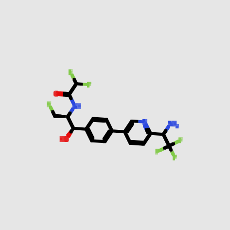 NC(c1ccc(-c2ccc([C@@H](O)[C@@H](CF)NC(=O)C(F)F)cc2)cn1)C(F)(F)F